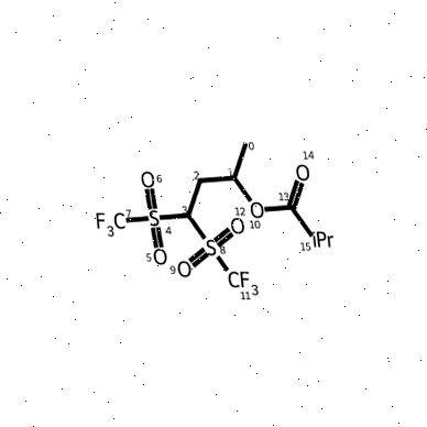 CC(CC(S(=O)(=O)C(F)(F)F)S(=O)(=O)C(F)(F)F)OC(=O)C(C)C